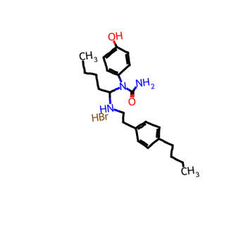 Br.CCCCc1ccc(CCNC(CCCC)N(C(N)=O)c2ccc(O)cc2)cc1